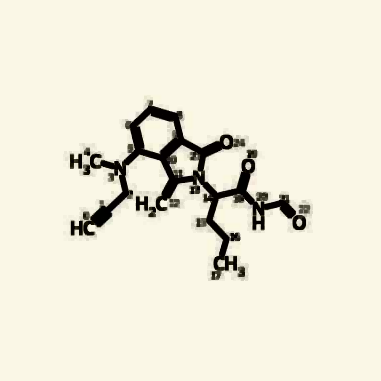 C#CCN(C)c1cccc2c1C(=C)N(C(CCC)C(=O)NC=O)C2=O